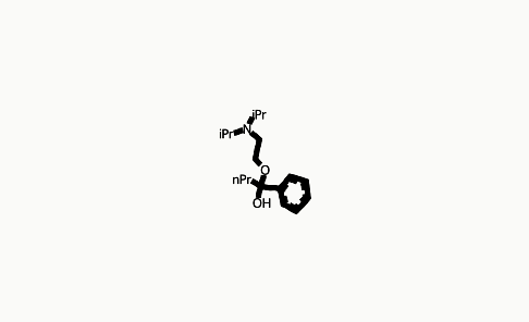 CCCC(O)(OCCN(C(C)C)C(C)C)c1ccccc1